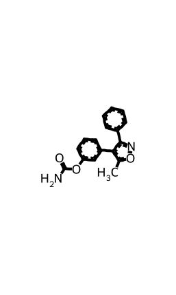 Cc1onc(-c2ccccc2)c1-c1cccc(OC(N)=O)c1